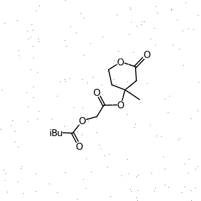 CCC(C)C(=O)OCC(=O)OC1(C)CCOC(=O)C1